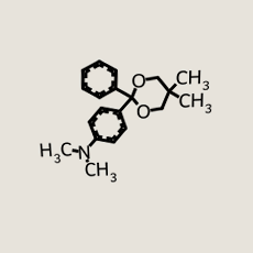 CN(C)c1ccc(C2(c3ccccc3)OCC(C)(C)CO2)cc1